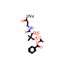 COC(=O)CCNC(=O)[C@@H]1OP(=O)(OC(C)OC(=O)c2ccccc2)OCC1(C)C